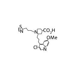 COc1ccc2ncc(Cl)c(CCCC3CC(C(=O)O)CCN3CCCCc3nccs3)c2c1